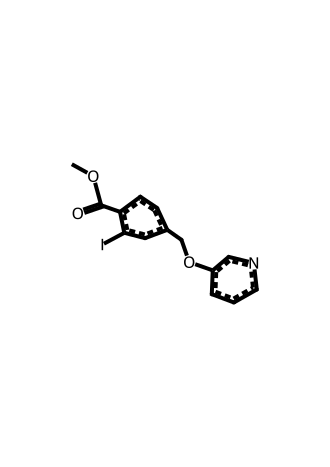 COC(=O)c1ccc(COc2cccnc2)cc1I